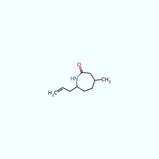 C=CCC1CCC(C)CC(=O)N1